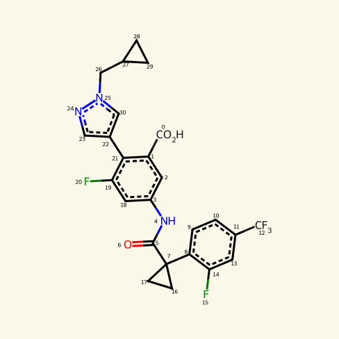 O=C(O)c1cc(NC(=O)C2(c3ccc(C(F)(F)F)cc3F)CC2)cc(F)c1-c1cnn(CC2CC2)c1